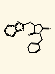 O=C1CC(Sc2nc3ccccc3s2)C(=O)N1CC1=CCCC=C1